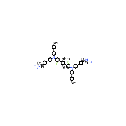 CCCCCCc1cc(-c2ccc(N(c3ccc(-c4ccc(CCC)cc4)cc3)c3ccc(-c4ccc(C(N)(CC)CC)cc4)cc3)cc2F)c(CCCCCC)cc1-c1ccc(N(c2ccc(-c3ccc(CCC)cc3)cc2)c2ccc(-c3ccc(C(N)(CC)CC)cc3)cc2)cc1F